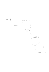 C=Cc1cncc(C2=CC3CNCC3C2)c1